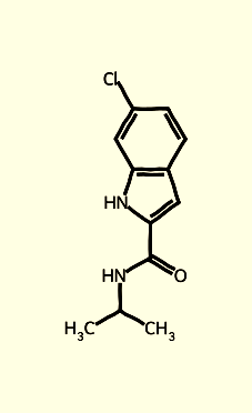 CC(C)NC(=O)c1cc2ccc(Cl)cc2[nH]1